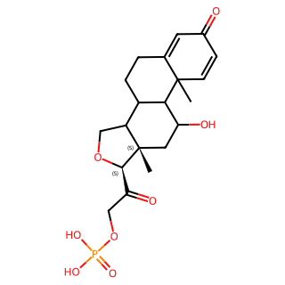 CC12C=CC(=O)C=C1CCC1C2C(O)C[C@@]2(C)C1CO[C@@H]2C(=O)COP(=O)(O)O